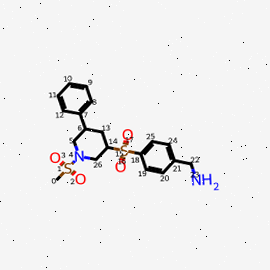 CS(=O)(=O)N1CC(c2ccccc2)CC(S(=O)(=O)c2ccc(CN)cc2)C1